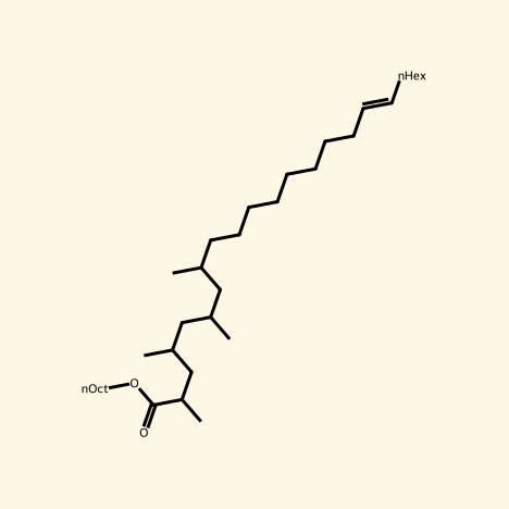 CCCCCCC=CCCCCCCCCC(C)CC(C)CC(C)CC(C)C(=O)OCCCCCCCC